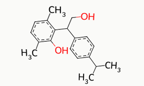 Cc1ccc(C)c(C(CO)c2ccc(C(C)C)cc2)c1O